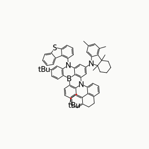 Cc1cc(C)c2c(c1)N(c1cc3c4c(c1)N(c1cccc5sc6ccccc6c15)c1cc(C(C)(C)C)ccc1B4c1ccc(C(C)(C)C)cc1N3c1cccc3c1-c1ccccc1CC3)C1(C)CCCCC21C